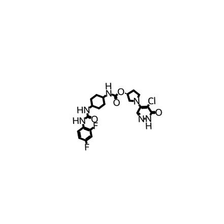 O=C(Nc1ccc(F)cc1F)NC1CCC(NC(=O)O[C@@H]2CCN(c3cn[nH]c(=O)c3Cl)C2)CC1